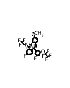 COc1ccc(CC(NC(=O)NCC(F)(F)F)(c2ccc(F)cc2)c2cc(F)cc(OC(F)(F)C(F)F)c2)cc1